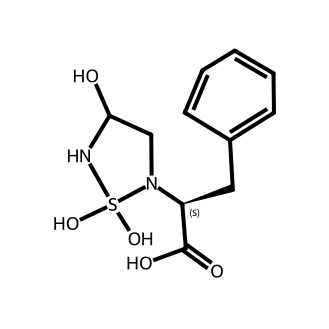 O=C(O)[C@H](Cc1ccccc1)N1CC(O)NS1(O)O